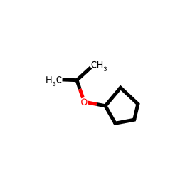 CC(C)OC1CCCC1